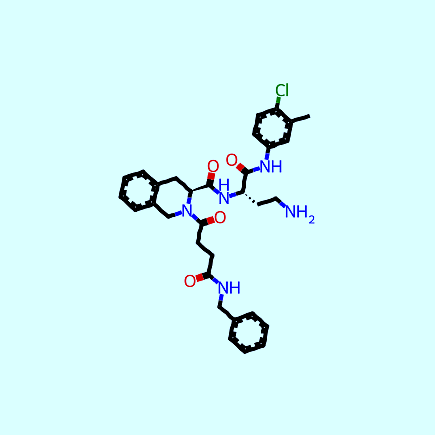 Cc1cc(NC(=O)[C@H](CCN)NC(=O)[C@@H]2Cc3ccccc3CN2C(=O)CCC(=O)NCc2ccccc2)ccc1Cl